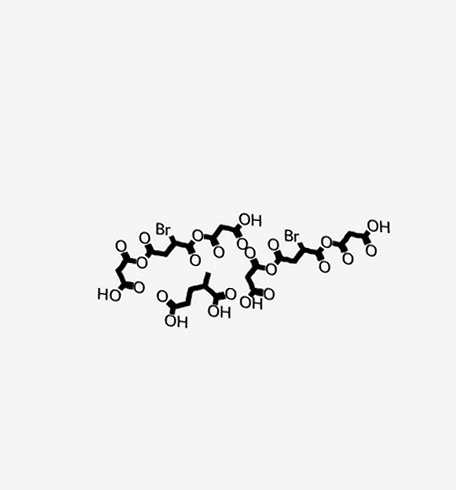 CC(CCC(=O)O)C(=O)O.O=C(O)CC(=O)OC(=O)CC(Br)C(=O)OC(=O)CC(=O)O.O=C(O)CC(=O)OC(=O)CC(Br)C(=O)OC(=O)CC(=O)O